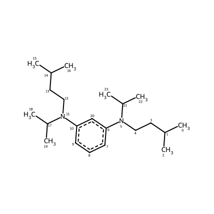 CC(C)CCN(c1cccc(N(CCC(C)C)C(C)C)c1)C(C)C